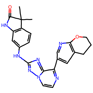 CC1(C)C(=O)Nc2cc(Nc3nc4c(-c5cnc6c(c5)CCCO6)nccn4n3)ccc21